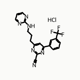 Cl.N#Cc1nc(CCCNc2ncccn2)cc(-c2cccc(C(F)(F)F)c2)n1